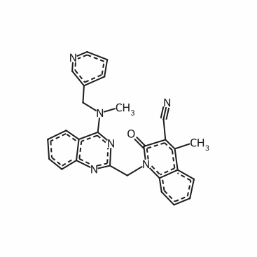 Cc1c(C#N)c(=O)n(Cc2nc(N(C)Cc3cccnc3)c3ccccc3n2)c2ccccc12